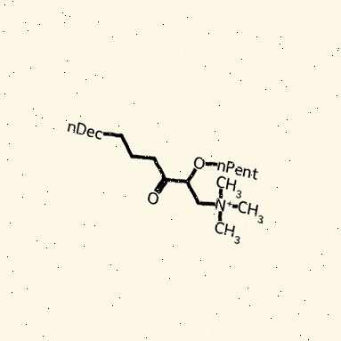 CCCCCCCCCCCCCC(=O)C(C[N+](C)(C)C)OCCCCC